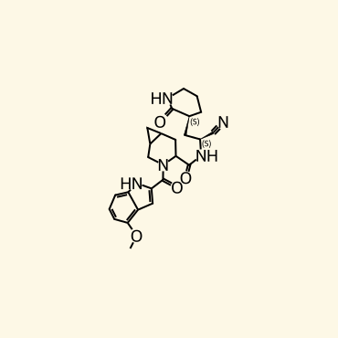 COc1cccc2[nH]c(C(=O)N3CC4CC4CC3C(=O)N[C@H](C#N)C[C@@H]3CCCNC3=O)cc12